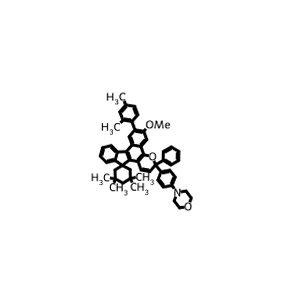 COc1cc2c3c(c4c(c2cc1-c1ccc(C)cc1C)-c1ccccc1C41CC(C)(C)CC(C)(C)C1)C=CC(c1ccccc1)(c1ccc(N2CCOCC2)cc1)O3